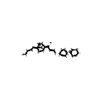 CCCCCC12CCC(C(F)CCC[C@H]3CC[C@H](C4CCCCC4)CC3)(CC1)CC2